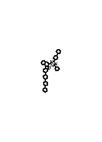 c1ccc(-c2ccc(-c3ccc(-c4ccc5c(c4)oc4c(-c6nc(-c7ccccc7)nc(-c7ccc(-c8ccccc8)cc7)n6)cc6ccccc6c45)cc3)cc2)cc1